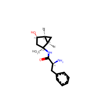 N[C@@H](Cc1ccccc1)C(=O)N[C@@]1(C(=O)O)C[C@H](O)[C@H]2C[C@H]21